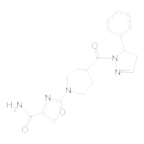 NC(=O)c1coc(N2CCC(C(=O)N3N=CCC3c3ccccc3)CC2)n1